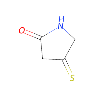 O=C1CC(=S)CN1